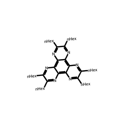 CCCCCCc1nc2c3nc(CCCCCC)c(CCCCCC)nc3c3nc(CCCCCC)c(CCCCCC)nc3c2nc1CCCCCC